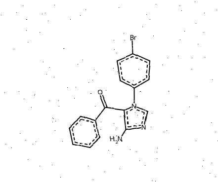 Nc1ncn(-c2ccc(Br)cc2)c1C(=O)c1ccccc1